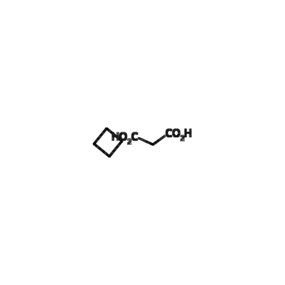 C1CCC1.O=C(O)CC(=O)O